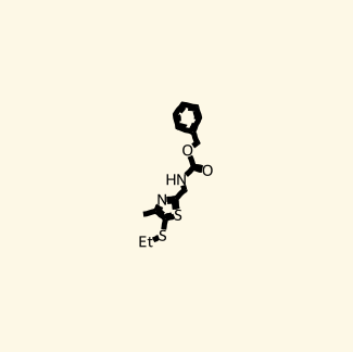 CCSc1sc(CNC(=O)OCc2ccccc2)nc1C